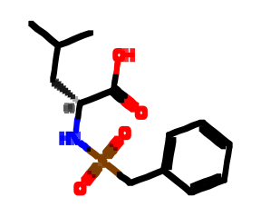 CC(C)C[C@@H](NS(=O)(=O)Cc1ccccc1)C(=O)O